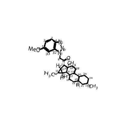 COc1ccc2nnn(CC(=O)[C@H]3[C@H]4[C@@H](C)[C@H]4C4[C@@H]5CC[C@@H]6C[C@@H](C)CCC6C5CC[C@@]43C)c2c1